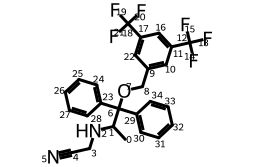 CC(NCC#N)C(OCc1cc(C(F)(F)F)cc(C(F)(F)F)c1)(c1ccccc1)c1ccccc1